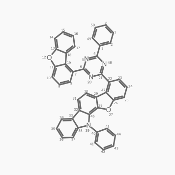 c1ccc(-c2nc(-c3cccc4oc5ccccc5c34)nc(-c3cccc4oc5c(ccc6c7ccccc7n(-c7ccccc7)c65)c34)n2)cc1